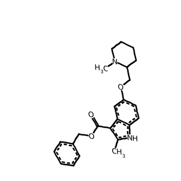 Cc1[nH]c2ccc(OCC3CCCCN3C)cc2c1C(=O)OCc1ccccc1